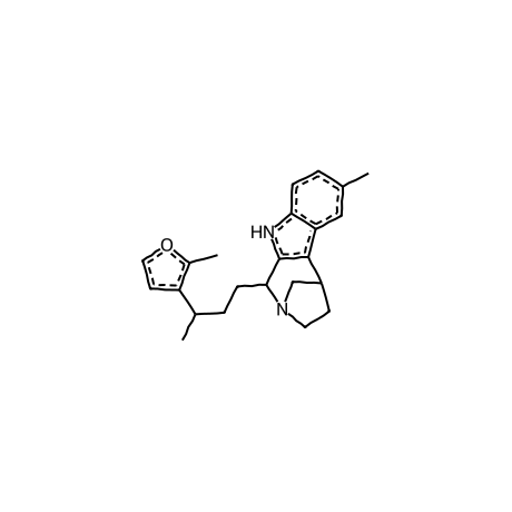 Cc1ccc2[nH]c3c(c2c1)C1CCN(C1)C3CCC(C)c1ccoc1C